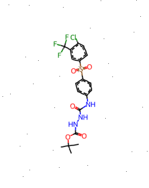 CC(C)(C)OC(=O)NNC(=O)Nc1ccc(S(=O)(=O)c2ccc(Cl)c(C(F)(F)F)c2)cc1